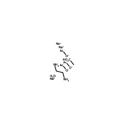 CC(=O)O.CC(=O)[O-].CC(=O)[O-].CC(=O)[O-].NCCN.O.[Na+].[Na+].[Na+]